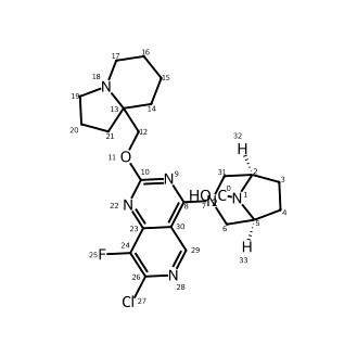 O=C(O)N1[C@@H]2CC[C@H]1CN(c1nc(OCC34CCCCN3CCC4)nc3c(F)c(Cl)ncc13)C2